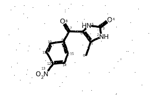 Cc1[nH]c(=O)[nH]c1C(=O)c1ccc([N+](=O)[O-])cc1